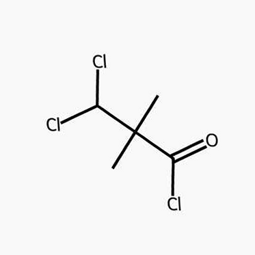 CC(C)(C(=O)Cl)C(Cl)Cl